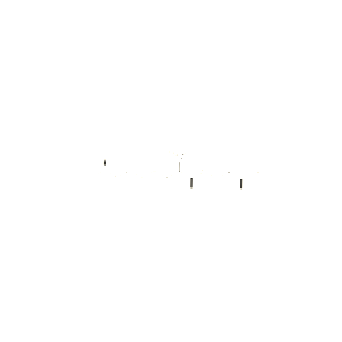 C[13C](=O)N[13CH2]CCCC(C(=O)N[13CH2]CC(=O)O)[15N](C)[13CH3]